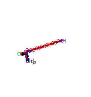 Cc1cc(C2CCC(N3CC(C(=O)NCCOCCOCCOCCOCCOCCOCCOCCOCCOCCOCCOCCNC=O)OCC3Cc3ccc(Cl)cc3)CC2)nn1C